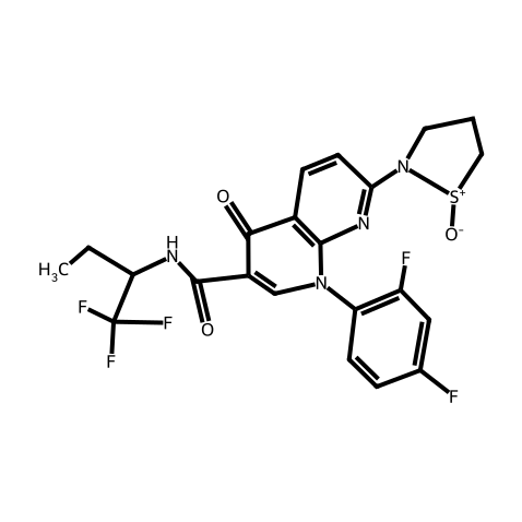 CCC(NC(=O)c1cn(-c2ccc(F)cc2F)c2nc(N3CCC[S+]3[O-])ccc2c1=O)C(F)(F)F